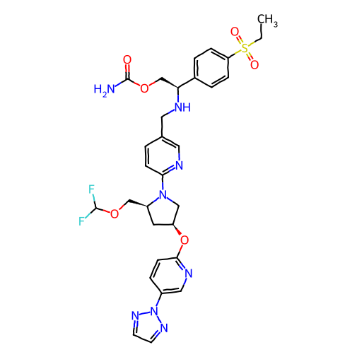 CCS(=O)(=O)c1ccc([C@H](COC(N)=O)NCc2ccc(N3C[C@@H](Oc4ccc(-n5nccn5)cn4)C[C@H]3COC(F)F)nc2)cc1